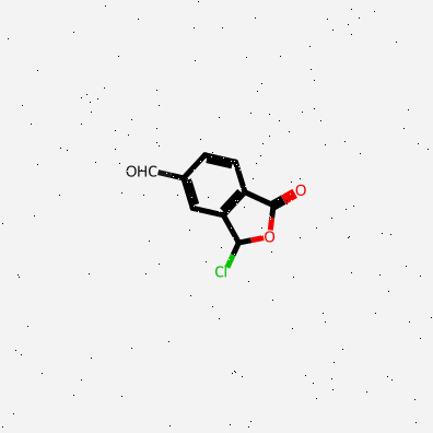 O=Cc1ccc2c(c1)C(Cl)OC2=O